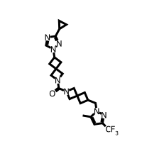 Cc1cc(C(F)(F)F)nn1CC1CC2(C1)CN(C(=O)N1CC3(CC(n4cnc(C5CC5)n4)C3)C1)C2